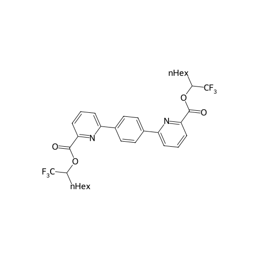 CCCCCCC(OC(=O)c1cccc(-c2ccc(-c3cccc(C(=O)OC(CCCCCC)C(F)(F)F)n3)cc2)n1)C(F)(F)F